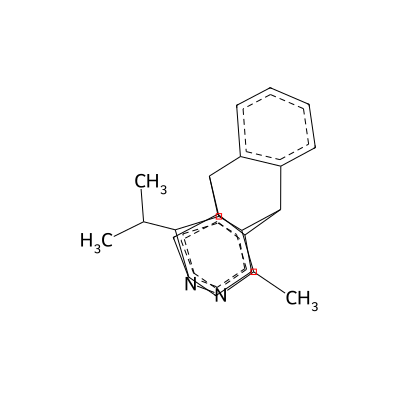 Cc1nnc(C(C)C)c2c1C1c3ccccc3C2c2ccccc21